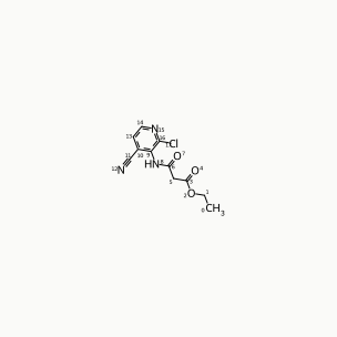 CCOC(=O)CC(=O)Nc1c(C#N)ccnc1Cl